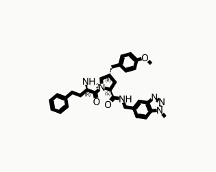 COc1ccc(C[C@@H]2C[C@@H](C(=O)NCc3ccc4c(c3)nnn4C)N(C(=O)[C@H](N)CCc3ccccc3)C2)cc1